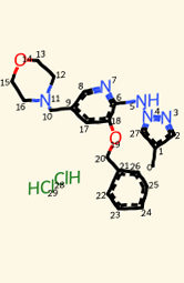 Cc1cnn(Nc2ncc(CN3CCOCC3)cc2OCc2ccccc2)c1.Cl.Cl